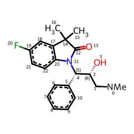 CNC[C@@H](O)[C@H](c1ccccc1)N1C(=O)C(C)(C)c2cc(F)ccc21